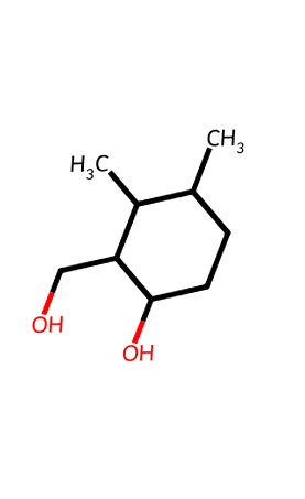 CC1CCC(O)C(CO)C1C